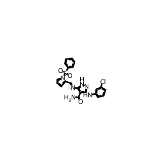 NC(=O)c1c(Nc2cccc(Cl)c2)n[nH]c1/N=C/c1cccn1S(=O)(=O)c1ccccc1